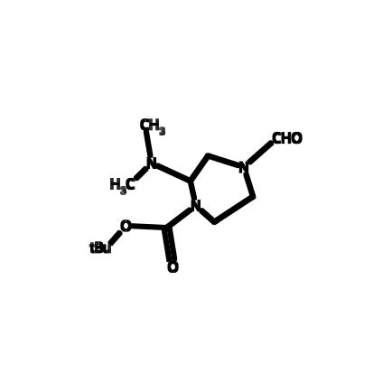 CN(C)C1CN(C=O)CCN1C(=O)OC(C)(C)C